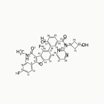 CNC(=O)c1c(-c2ccc(F)cc2)oc2ccc(-c3cc(C(=O)N(c4ncccn4)C4CC(O)C4)ccc3C)c(F)c12